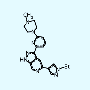 CCn1cc(-c2cc3c(-c4cccc(N5CCN(C)CC5)n4)n[nH]c3cn2)cn1